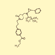 CCOC(=O)c1ccc(CCCN2CCC(CN(C(=O)OC(C)(C)C)C3CC3c3ccccc3)CC2=O)cc1